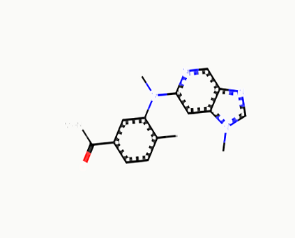 CCc1ccc(C(=O)NC)cc1N(C)c1cc2c(cn1)ncn2C